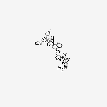 Cc1ccc(-n2nc(C(C)(C)C)cc2NC(=O)Nc2ccc(OCc3ccnc(Nc4cnc(CN)cn4)c3)c3ccccc23)cc1